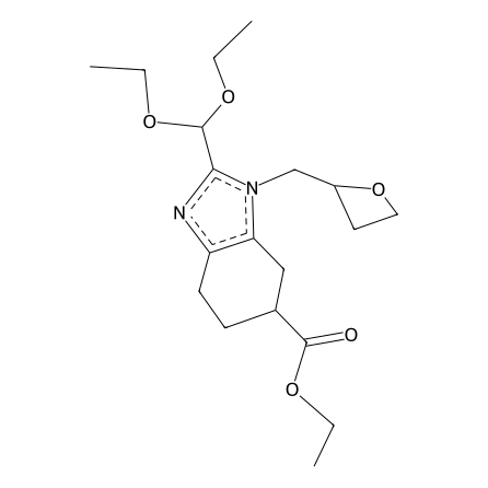 CCOC(=O)C1CCc2nc(C(OCC)OCC)n(CC3CCO3)c2C1